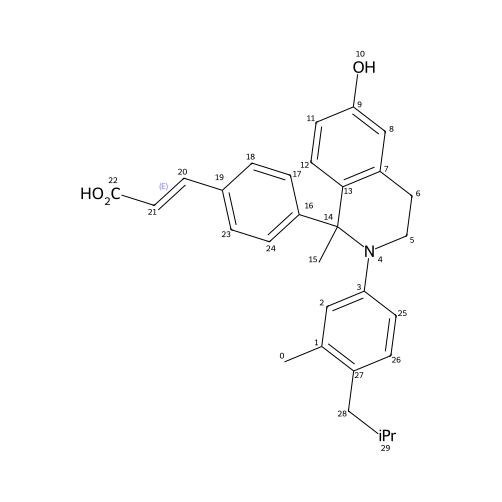 Cc1cc(N2CCc3cc(O)ccc3C2(C)c2ccc(/C=C/C(=O)O)cc2)ccc1CC(C)C